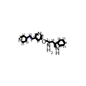 NC(COc1cncc(/C=C/c2ccncc2)c1)Cc1c[nH]c2ccccc12